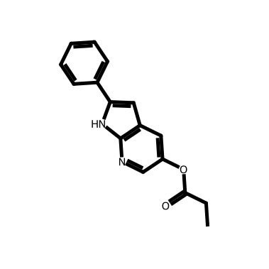 CCC(=O)Oc1cnc2[nH]c(-c3ccccc3)cc2c1